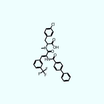 CN(C(=O)C(=Cc1cccc(C(F)(F)F)c1)NC(=O)c1ccc(-c2ccccc2)cc1)C(Cc1ccc(Cl)cc1)C(=O)O